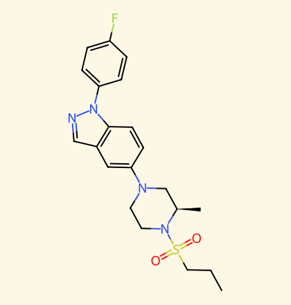 CCCS(=O)(=O)N1CCN(c2ccc3c(cnn3-c3ccc(F)cc3)c2)C[C@H]1C